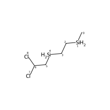 C[SiH2]CC[SiH2]CC(Cl)Cl